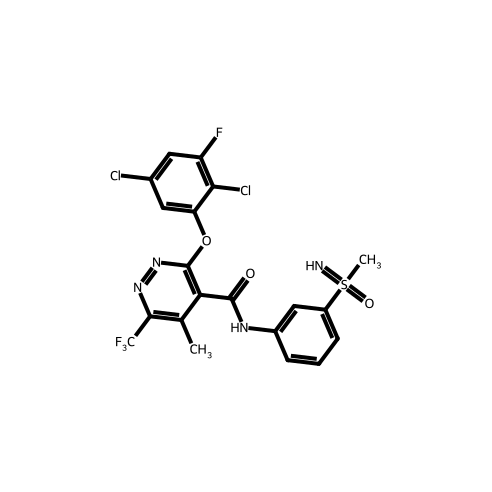 Cc1c(C(F)(F)F)nnc(Oc2cc(Cl)cc(F)c2Cl)c1C(=O)Nc1cccc(S(C)(=N)=O)c1